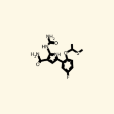 CSC(C)Oc1ccc(F)cc1-c1cc(C(N)=O)c(NC(N)=O)[nH]1